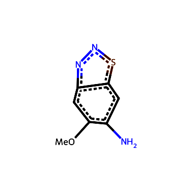 COc1cc2nnsc2cc1N